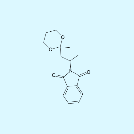 CC(CC1(C)OCCCO1)N1C(=O)c2ccccc2C1=O